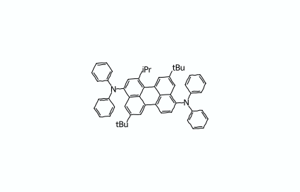 CC(C)c1cc(N(c2ccccc2)c2ccccc2)c2cc(C(C)(C)C)cc3c4ccc(N(c5ccccc5)c5ccccc5)c5cc(C(C)(C)C)cc(c1c23)c54